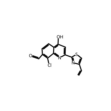 C=Cc1csc(-c2cc(O)c3ccc(C=O)c(Cl)c3n2)n1